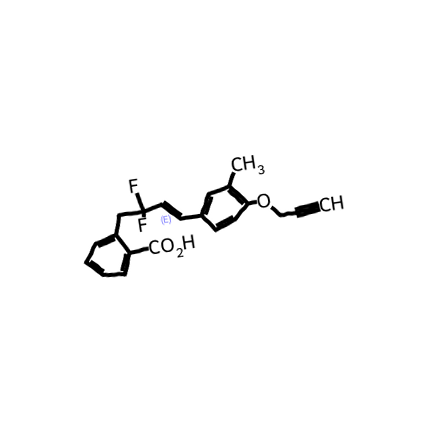 C#CCOc1ccc(/C=C/C(F)(F)Cc2ccccc2C(=O)O)cc1C